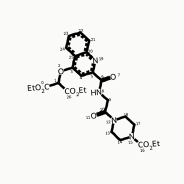 CCOC(=O)C(Oc1cc(C(=O)NCC(=O)N2CCN(C(=O)OCC)CC2)nc2ccccc12)C(=O)OCC